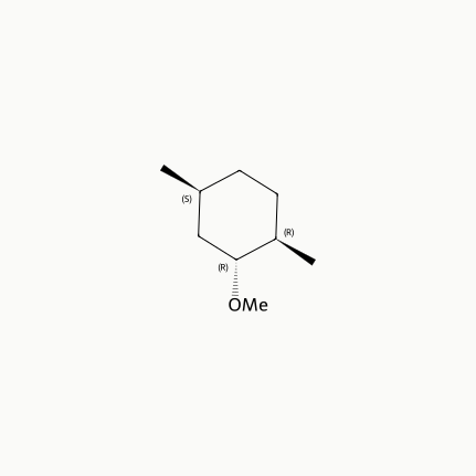 CO[C@@H]1C[C@@H](C)CC[C@H]1C